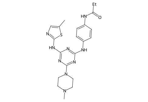 CCC(=O)Nc1ccc(Nc2nc(Nc3ncc(C)s3)nc(N3CCN(C)CC3)n2)cc1